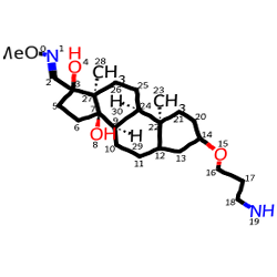 CO/N=C/C1(O)CC[C@@]2(O)[C@@H]3CCC4CC(OCCCN)CC[C@]4(C)[C@@H]3CC[C@]12C